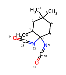 CC1CC(C)(C)CCC1(N=C=O)N=C=O